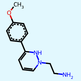 COc1ccc(C2=CC=CN(CCN)N2)cc1